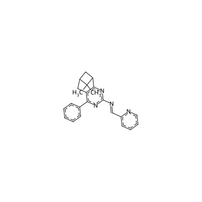 CC1(C)C2Cc3c(-c4ccccc4)nc(N=Cc4ccccn4)nc3C1C2